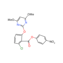 COc1cc(OC)nc(Oc2cccc(Cl)c2C(=O)Oc2ccc([N+](=O)[O-])cc2)n1